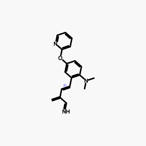 C=C(C=N)/C=C/c1cc(Oc2ccccn2)ccc1N(C)C